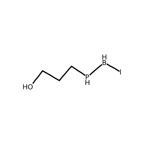 OCCCPBI